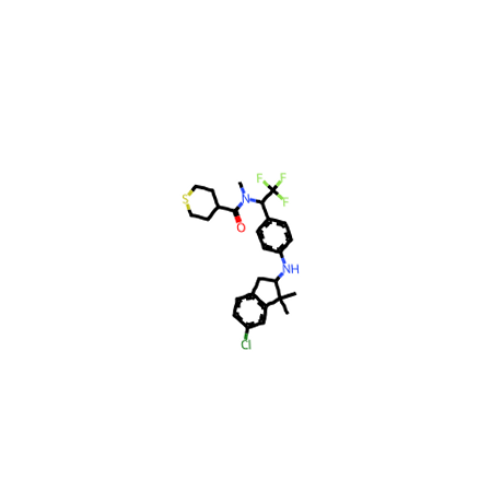 CN(C(=O)C1CCSCC1)C(c1ccc(NC2Cc3ccc(Cl)cc3C2(C)C)cc1)C(F)(F)F